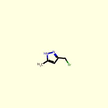 Cc1cc(CBr)n[nH]1